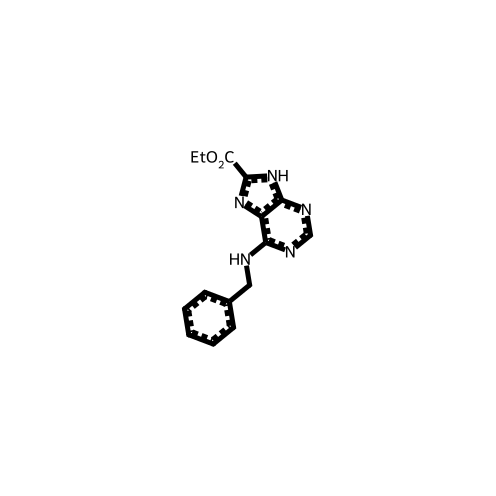 CCOC(=O)c1nc2c(NCc3ccccc3)ncnc2[nH]1